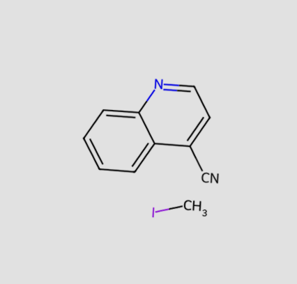 CI.N#Cc1ccnc2ccccc12